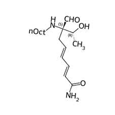 CCCCCCCCN[C@@](C=O)(CC=CC=CC(N)=O)[C@@H](C)O